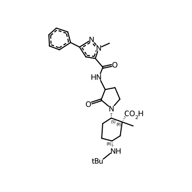 Cn1nc(-c2ccccc2)cc1C(=O)NC1CCN([C@H]2CC[C@@H](NC(C)(C)C)C[C@@]2(C)C(=O)O)C1=O